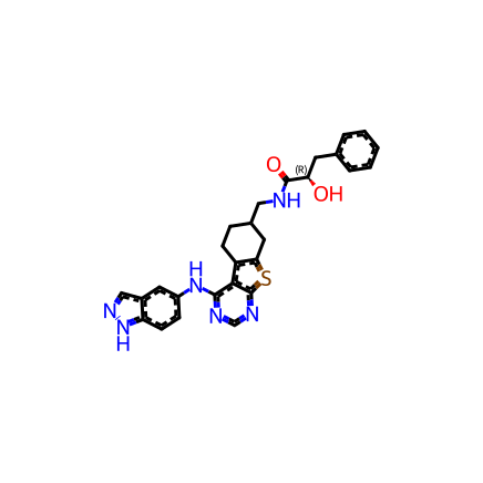 O=C(NCC1CCc2c(sc3ncnc(Nc4ccc5[nH]ncc5c4)c23)C1)[C@H](O)Cc1ccccc1